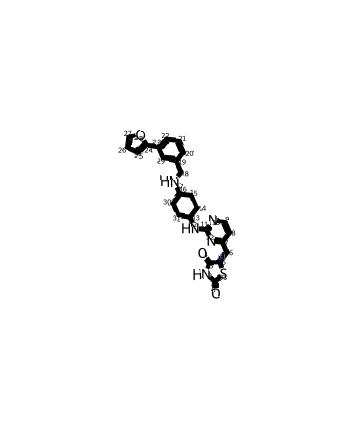 O=C1NC(=O)/C(=C\c2ccnc(NC3CCC(NCc4cccc(-c5ccco5)c4)CC3)n2)S1